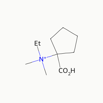 CC[N+](C)(C)C1(C(=O)O)CCCC1